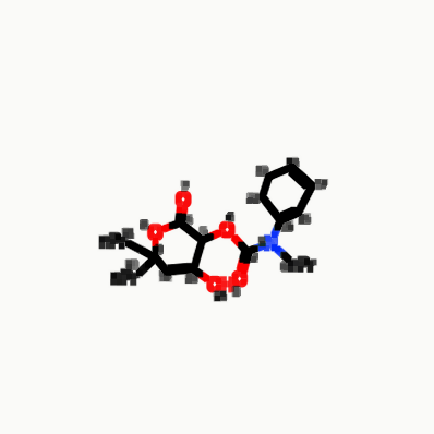 CCCN(C(=O)OC1C(=O)OC(CCC)(CCC)C=C1O)C1=CC=CCC1